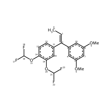 CC=C(c1cc(OC)cc(OC)c1)c1ccc(OC(F)F)c(OC(F)F)c1